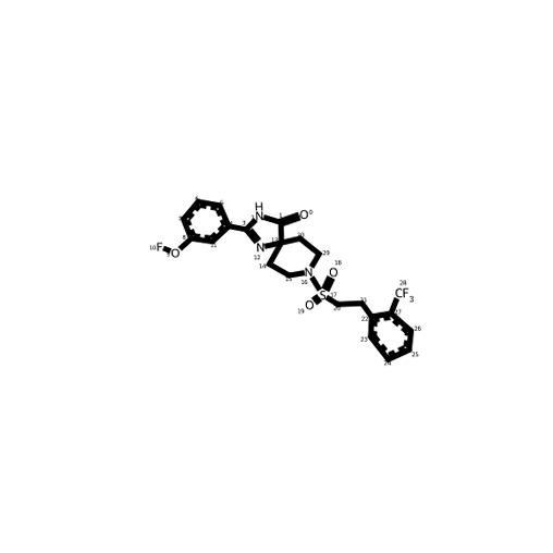 O=C1NC(c2cccc(OF)c2)=NC12CCN(S(=O)(=O)CCc1ccccc1C(F)(F)F)CC2